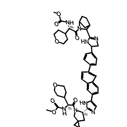 COC(=O)N[C@H](C(=O)N1C2CCC(C2)C1C1=NCC(c2ccc(-c3ccc4cc(-c5cnc([C@@H]6CC7(CC7)CN6C(=O)[C@@H](NC(=O)OC)C6CCOCC6)[nH]5)ccc4c3)cc2)N1)C1CCOCC1